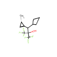 C[C@H]1CC1C(C1CCC1)C(O)(C(F)(F)F)C(F)(F)F